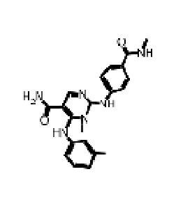 CNC(=O)c1ccc(NC2N=CC(C(N)=O)=C(Nc3cccc(C)c3)N2)cc1